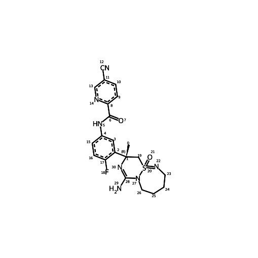 C[C@@]1(c2cc(NC(=O)c3ccc(C#N)cn3)ccc2F)CS2(=O)=NCCCCN2C(N)=N1